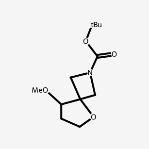 COC1CCOC12CN(C(=O)OC(C)(C)C)C2